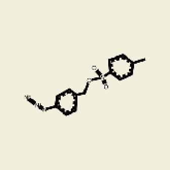 Cc1ccc(S(=O)(=O)OCc2ccc(N=[N+]=[N-])cc2)cc1